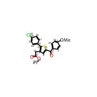 COc1ccc(C(=O)c2cc(CC(=O)OC(C)C)c(-c3ccc(Cl)cc3)s2)cc1